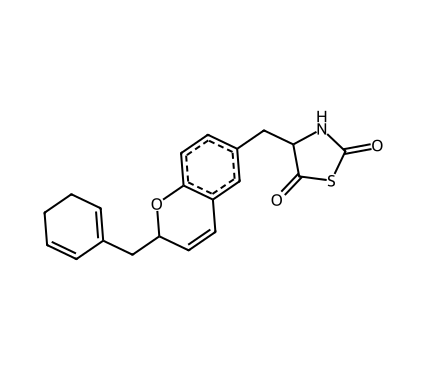 O=C1NC(Cc2ccc3c(c2)C=CC(CC2=CCCC=C2)O3)C(=O)S1